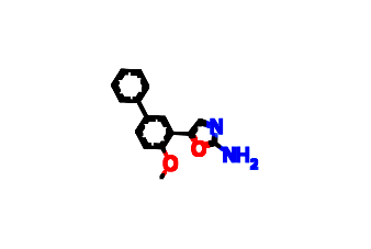 COc1ccc(-c2ccccc2)cc1-c1cnc(N)o1